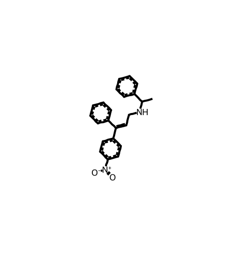 CC(NC/C=C(\c1ccccc1)c1ccc([N+](=O)[O-])cc1)c1ccccc1